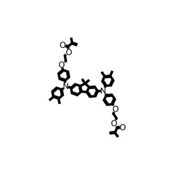 C=C(C)C(=O)OCCOc1ccc(N(c2ccc(C)c(C)c2)c2ccc3c(c2)C(C)(C)c2cc(N(c4ccc(OCCOC(=O)C(=C)C)cc4)c4ccc(C)c(C)c4)ccc2-3)cc1